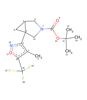 Cc1c(C23CC2CN(C(=O)OC(C)(C)C)C3)noc1C(F)(F)F